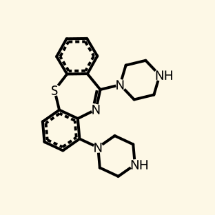 c1ccc2c(c1)Sc1cccc(N3CCNCC3)c1N=C2N1CCNCC1